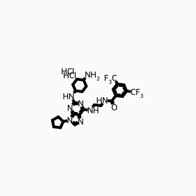 Cl.Cl.NC1CCC(Nc2nc(NCCNC(=O)c3cc(C(F)(F)F)cc(C(F)(F)F)c3)c3ncn(C4CCCC4)c3n2)CC1